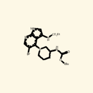 CCOC(=O)Nc1c[nH]c2ncc(Br)c(N3CCCC(NC(=O)OC(C)(C)C)C3)c12